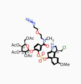 COc1ccc2c(OS(=O)(=O)Oc3cc(C(=O)N(C)CCOCCN=[N+]=[N-])ccc3O[C@@H]3O[C@H](COC(C)=O)[C@H](OC(C)=O)[C@H](OC(C)=O)C3OC(C)=O)cc3c(c2c1)[C@H](CCl)CN3